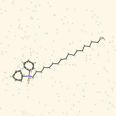 CCCCCCCCCCCCCCCCCC[N+]([O-])(c1ccccc1)c1ccccc1